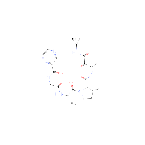 CCCC(NC(=O)[C@@H]1[C@@H](CC)CCN1C(=O)[C@H](CC(C)(C)C)NC(=O)[C@@H](NC(=O)c1cnccn1)C(C)C)C(=O)C(=O)NC1CC1